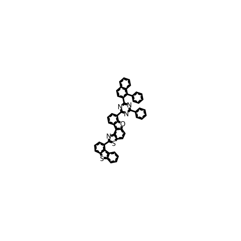 c1ccc(-c2nc(-c3ccc4ccccc4c3-c3ccccc3)nc(-c3cccc4c3oc3ccc5sc(-c6cccc7sc8ccccc8c67)nc5c34)n2)cc1